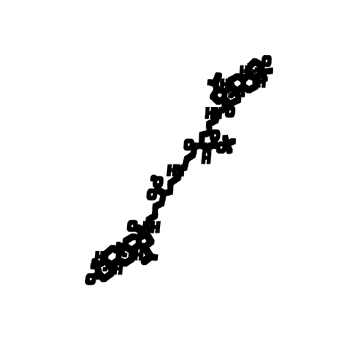 C=C(C)C1CCC2(C(=O)NCCCCC(CCCNCCCC(=O)C(CCCCNC(=O)C34CCC(C(=C)C)C3[C@H]3CC[C@@H]5[C@@]6(C)CCC(=O)C(C)(C)[C@@H]6CC[C@@]5(C)[C@]3(C)CC4)NC(=O)OC(C)(C)C)C(=O)OC)CC[C@]3(C)[C@H](CC[C@@H]4[C@@]5(C)CCC(=O)C(C)(C)[C@@H]5CC[C@]43C)C12